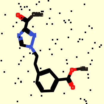 COC(=O)c1ncn(CCc2cccc(C(=O)OC(C)(C)C)c2)n1